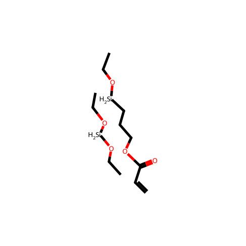 C=CC(=O)OCCC[SiH2]OCC.CCO[SiH2]OCC